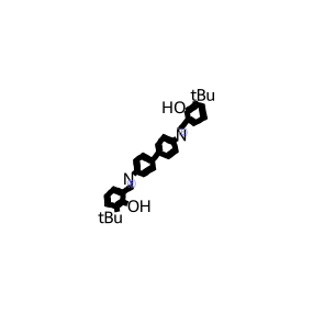 CC(C)(C)c1cccc(/C=N/c2ccc(-c3ccc(/N=C/c4cccc(C(C)(C)C)c4O)cc3)cc2)c1O